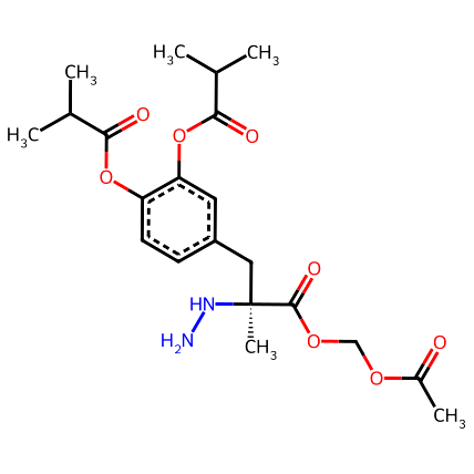 CC(=O)OCOC(=O)[C@](C)(Cc1ccc(OC(=O)C(C)C)c(OC(=O)C(C)C)c1)NN